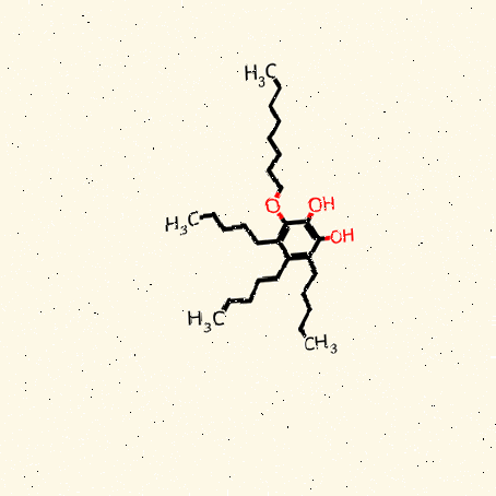 CCCCCCCCOc1c(O)c(O)c(CCCCC)c(CCCCC)c1CCCCC